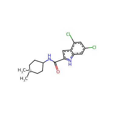 C[Si]1(C)CCC(NC(=O)c2cc3c(Cl)cc(Cl)cc3[nH]2)CC1